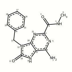 CNC(=O)c1nc(N)c2[nH]c(=O)n(Cc3ccccc3)c2n1